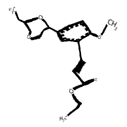 CCOC(=O)C=Cc1cc(C2COC(C)O2)ccc1OC